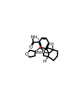 CO[C@]1(c2cccc(C(N)=O)c2)[C@@H]2CCC[C@H]1CN(C[C@H]1CCOC1)C2